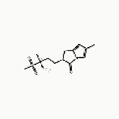 Cc1cc2n(c1)C(=O)N(CC[C@](C)(C(=O)O)S(C)(=O)=O)C2